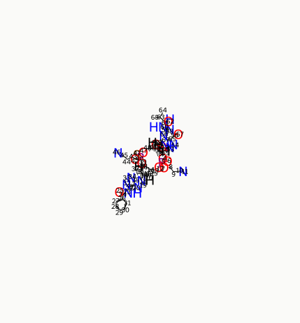 CO[C@H]1[C@H]2OP(=O)(OCCC#N)OCC34C[C@@H]3[C@@H](n3cnc5c(NC(=O)c6ccccc6)ncnc53)[C@H](C)[C@@H]4OP(=S)(OCCC#N)OC[C@H]1O[C@H]2n1nnc2c(=O)[nH]c(NC(=O)C(C)C)nc21